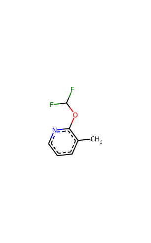 Cc1cccnc1OC(F)F